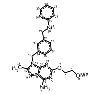 COCCOc1nc(N)c2nc(C)n(Cc3cccc(CNc4ccccn4)c3)c2n1